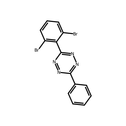 Brc1cccc(Br)c1-c1nnc(-c2ccccc2)nn1